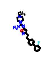 CN1CCN(C(N)=Nc2cc(CCc3ccc(-c4ccccc4F)cc3)no2)CC1